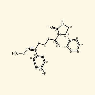 CO/N=C(/CCCC(=O)N1C(=O)OC[C@@H]1c1ccccc1)c1ccc(F)cc1